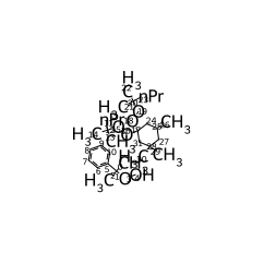 CC(C)(OO)c1ccccc1.CCCC(C)(C)OOC1(OOC(C)(C)CCC)CC(C)CC(C)(C)C1